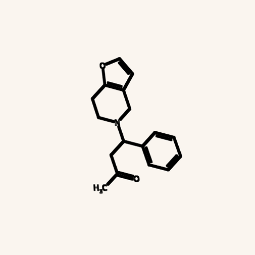 CC(=O)CC(c1ccccc1)N1CCc2occc2C1